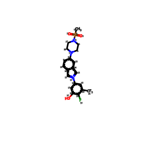 CS(=O)(=O)N1CCN(c2ccc3cn(-c4cc(O)c(F)c(C(F)(F)F)c4)cc3c2)CC1